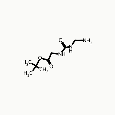 CC(C)(C)OC(=O)CNC(=O)NCN